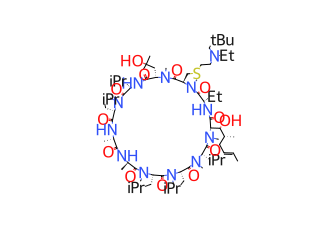 C/C=C/C[C@@H](C)[C@@H](O)[C@H]1C(=O)N[C@@H](CC)C(=O)N(C)[C@H](CSCCN(CC)CC(C)(C)C)C(=O)N(C)[C@@H](CC(C)(C)O)C(=O)N[C@@H](C(C)C)C(=O)N(C)[C@@H](CC(C)C)C(=O)N[C@@H](C)C(=O)N[C@H](C)C(=O)N(C)[C@@H](CC(C)C)C(=O)N(C)[C@@H](CC(C)C)C(=O)N(C)[C@@H](C(C)C)C(=O)N1C